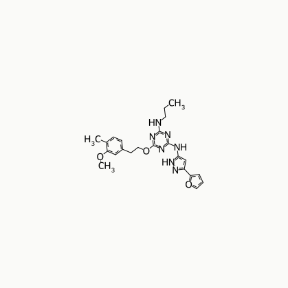 CCCNc1nc(Nc2cc(-c3ccco3)n[nH]2)nc(OCCc2ccc(C)c(OC)c2)n1